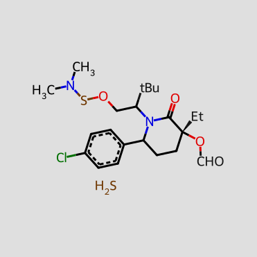 CC[C@@]1(OC=O)CCC(c2ccc(Cl)cc2)N(C(COSN(C)C)C(C)(C)C)C1=O.S